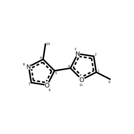 Cc1cnc(-c2o[c]nc2C)o1